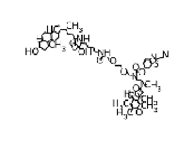 CC1=C(C)C(=O)C(C(C)(C)CC(=O)N(C)CCN(CCOCCOCCC(=O)NCCCCC(NC(=O)CC[C@@H](C)[C@H]2CCC3C2CCC2[C@H]3CC[C@@H]3C[C@H](O)CC[C@]23C)C(=O)O)C(=O)Oc2ccc3nc(C#N)sc3c2)=C(C)C1=O